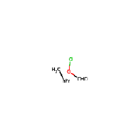 CCCC.O=COCl